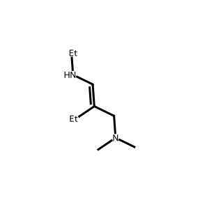 CCN/C=C(\CC)CN(C)C